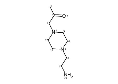 CC(=O)CN1CCN(CCN)CC1